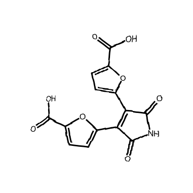 O=C1NC(=O)C(c2ccc(C(=O)O)o2)=C1c1ccc(C(=O)O)o1